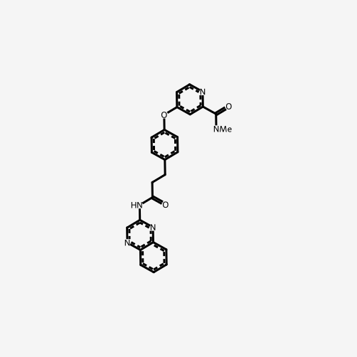 CNC(=O)c1cc(Oc2ccc(CCC(=O)Nc3cnc4ccccc4n3)cc2)ccn1